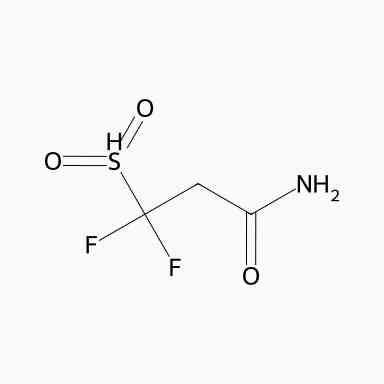 NC(=O)CC(F)(F)[SH](=O)=O